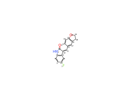 O=C1Nc2ccc(F)cc2C1=Cc1ccc2c(c1)CCO2